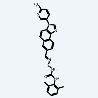 Cc1cccc(C)c1NC(=O)NS/N=C/c1ccc2c(ccc3c2ncn3-c2ccc(C(F)(F)F)nc2)c1